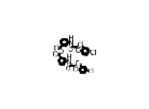 O=C(COc1ccc(Cl)cc1Cl)Nc1cccc(C(=O)OC(=O)c2cccc(NC(=O)COc3ccc(Cl)cc3Cl)c2)c1